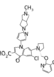 CN1CC2CN(c3ccc(-n4cc(C(=O)O)c(=O)c5cc(Cl)c(N6CCC[C@@H]6COc6ncccc6Cl)cc54)cn3)CC2C1